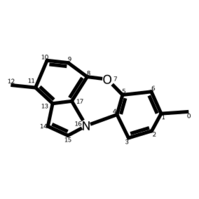 Cc1ccc2c(c1)Oc1ccc(C)c3ccn-2c13